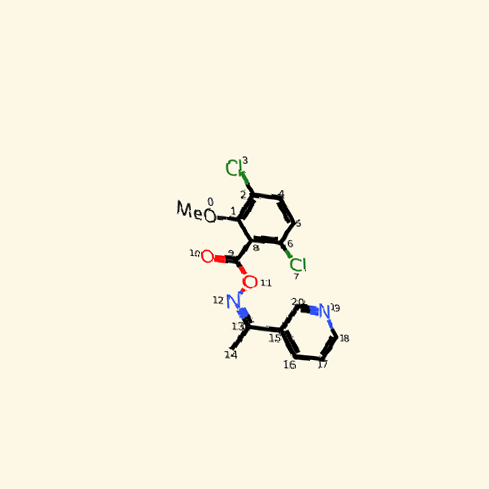 COc1c(Cl)ccc(Cl)c1C(=O)ON=C(C)c1cccnc1